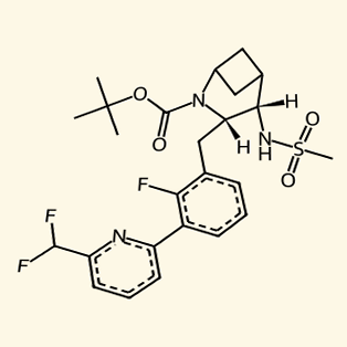 CC(C)(C)OC(=O)N1C2CC(C2)[C@H](NS(C)(=O)=O)[C@@H]1Cc1cccc(-c2cccc(C(F)F)n2)c1F